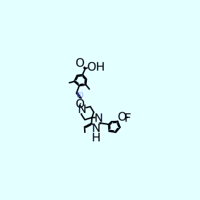 CC=C1NC(c2cccc(OF)c2)=NC12CCN(O/C=C/c1c(C)cc(C(=O)O)cc1C)CC2